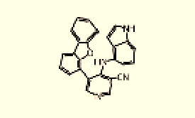 N#Cc1cncc(-c2cccc3c2oc2ccccc23)c1Nc1cccc2[nH]ccc12